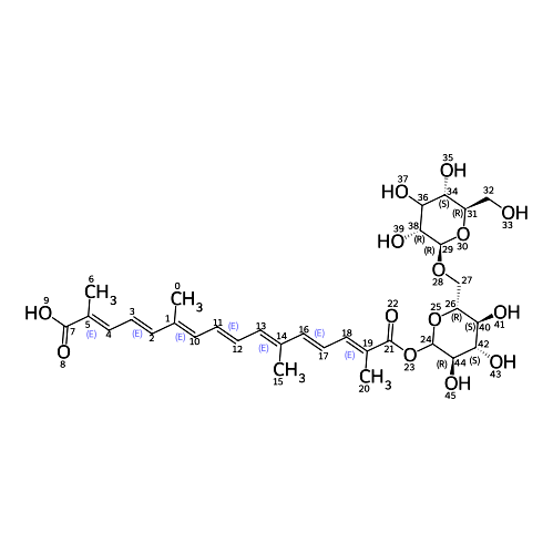 CC(/C=C/C=C(\C)C(=O)O)=C\C=C\C=C(C)\C=C\C=C(/C)C(=O)OC1O[C@H](CO[C@@H]2O[C@H](CO)[C@@H](O)C(O)[C@H]2O)[C@@H](O)[C@H](O)[C@H]1O